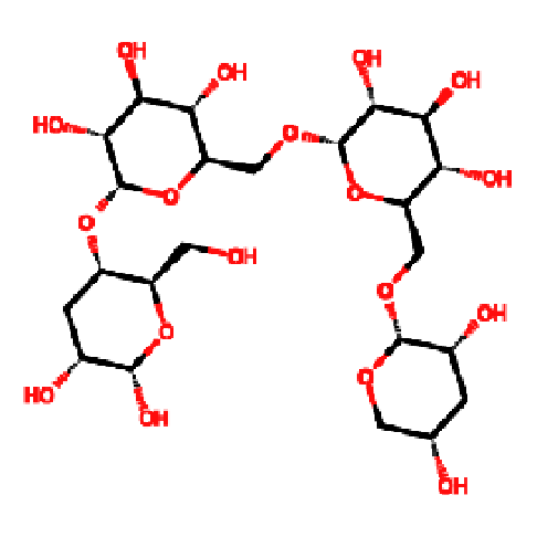 OC[C@H]1O[C@H](O)[C@H](O)C[C@@H]1O[C@H]1O[C@H](CO[C@H]2O[C@H](CO[C@H]3OC[C@@H](O)C[C@H]3O)[C@@H](O)[C@H](O)[C@H]2O)[C@@H](O)[C@H](O)[C@H]1O